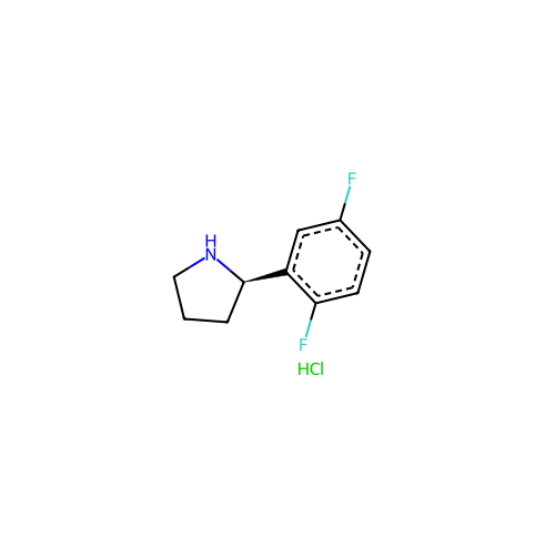 Cl.Fc1ccc(F)c([C@H]2CCCN2)c1